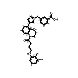 Cc1cccc(OCCCC(=O)N2CCSc3c(-c4cnn(Cc5cccc(C(=O)O)c5)c4)cccc32)c1C